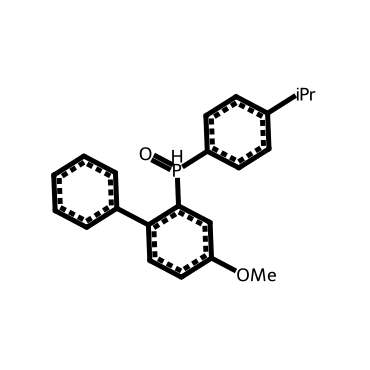 COc1ccc(-c2ccccc2)c([PH](=O)c2ccc(C(C)C)cc2)c1